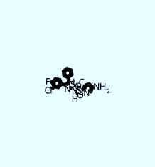 Cc1cc(N)cnc1S(=O)(=O)Nc1nc(-c2ccc(F)c(Cl)c2)c(-c2ccccc2)s1